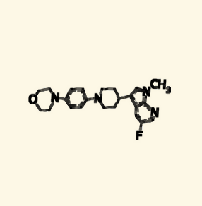 Cn1cc(C2CCN(c3ccc(N4CCOCC4)cc3)CC2)c2cc(F)cnc21